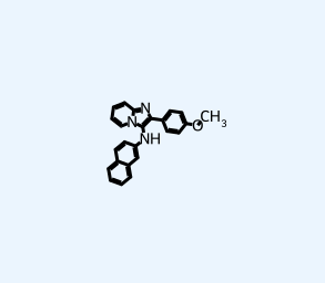 COc1ccc(-c2nc3ccccn3c2Nc2ccc3ccccc3c2)cc1